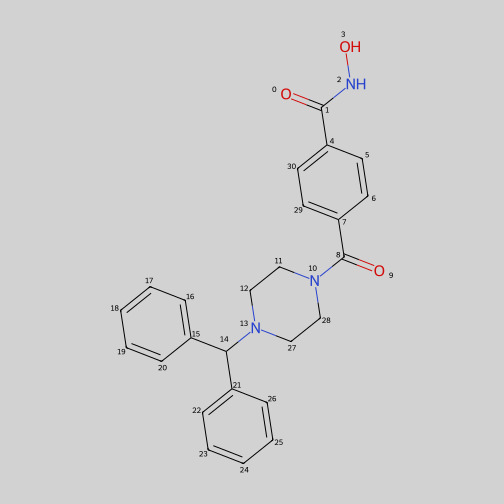 O=C(NO)c1ccc(C(=O)N2CCN(C(c3ccccc3)c3ccccc3)CC2)cc1